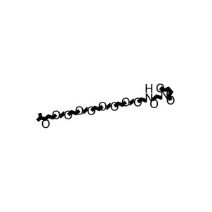 CC(C)C(=O)CCOCCOCCOCCOCCOCCOCCOCCOCCNC(=O)CCN1C(=O)C=CC1=O